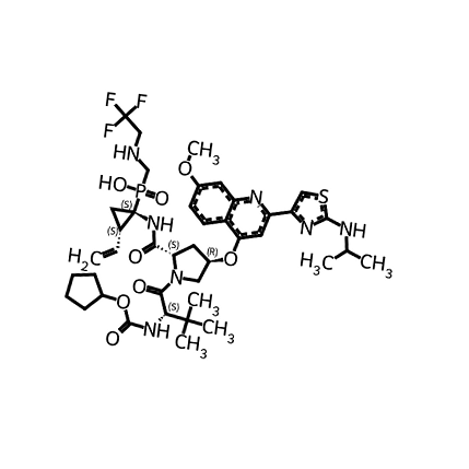 C=C[C@@H]1C[C@]1(NC(=O)[C@@H]1C[C@@H](Oc2cc(-c3csc(NC(C)C)n3)nc3cc(OC)ccc23)CN1C(=O)[C@@H](NC(=O)OC1CCCC1)C(C)(C)C)P(=O)(O)CNCC(F)(F)F